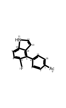 CC(=O)c1ccc(-c2c(F)ccc3[nH]ccc23)cc1